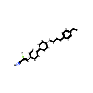 CCc1ccc(CCCC[C@H]2CC[C@H]([C@H]3CC[C@H](C=C(F)C#N)CC3)CC2)cc1